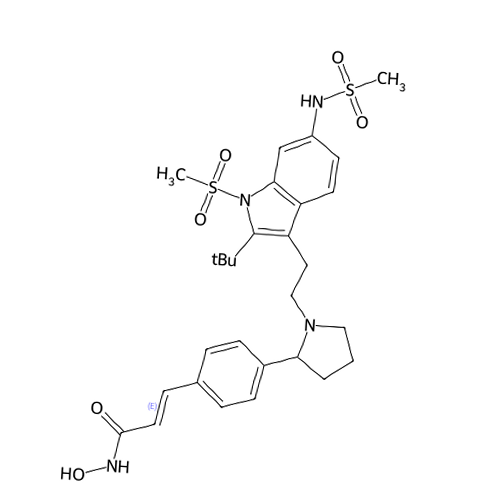 CC(C)(C)c1c(CCN2CCCC2c2ccc(/C=C/C(=O)NO)cc2)c2ccc(NS(C)(=O)=O)cc2n1S(C)(=O)=O